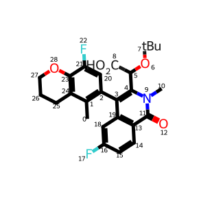 Cc1c(-c2c(C(OC(C)(C)C)C(=O)O)n(C)c(=O)c3ccc(F)cc23)cc(F)c2c1CCCO2